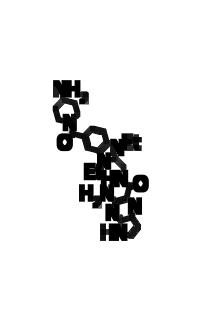 CCn1c(CNC(=O)c2nc3cc[nH]c3nc2N)[n+](CC)c2ccc(C(=O)N3CCC(N)CC3)cc21